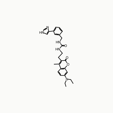 CCN(CC)c1ccc2c(C)c(CCNC(=O)NCc3cccc(-c4c[nH]cn4)c3)c(=O)oc2c1